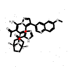 COc1ccc2ncc(-c3cnn4c(N)c(C(C)=O)c([C@@H]5C[C@H]6CC[C@@H](C5)N6C(=O)c5nnc[nH]5)nc34)cc2c1